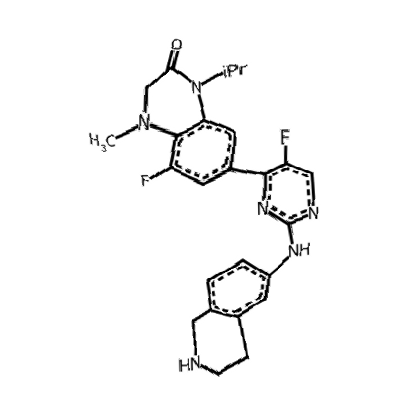 CC(C)N1C(=O)CN(C)c2c(F)cc(-c3nc(Nc4ccc5c(c4)CCNC5)ncc3F)cc21